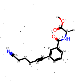 COC(=O)[C@@H](C)NC(=O)c1cccc(C#CCCCC#N)c1